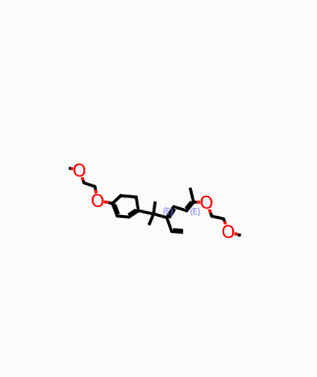 C=C/C(=C\C=C(/C)OCCOC)C(C)(C)C1=CC=C(OCCOC)CC1